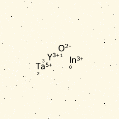 [In+3].[O-2].[Ta+5].[Y+3]